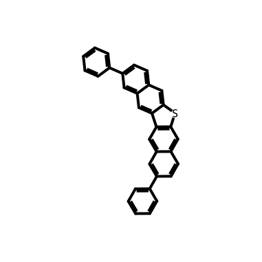 c1ccc(-c2ccc3cc4sc5cc6ccc(-c7ccccc7)cc6cc5c4cc3c2)cc1